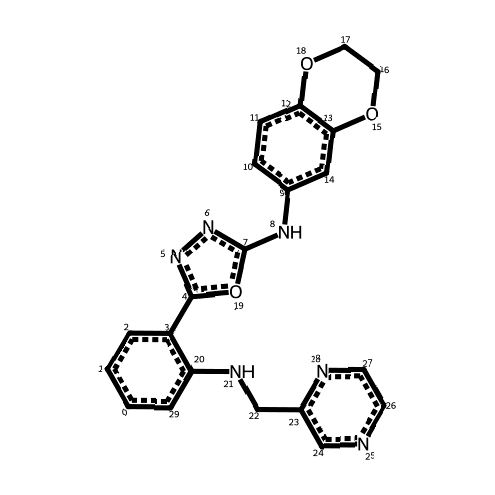 c1ccc(-c2nnc(Nc3ccc4c(c3)OCCO4)o2)c(NCc2cnccn2)c1